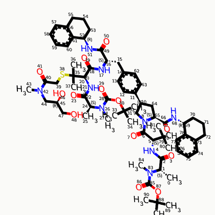 C[C@@H](C(=O)N[C@H](C(=O)N1C[C@@H](c2ccc(C[C@H](NC(=O)[C@@H](NC(=O)[C@H](C)N(C)C(=O)OC(C)(C)C)C(C)(C)SCC(=O)N(C)C[C@@H](O)CO)C(=O)N[C@@H]3CCCc4ccccc43)cc2)C[C@H]1C(=O)N[C@@H]1CCCc2ccccc21)C(C)(C)C)N(C)C(=O)OC(C)(C)C